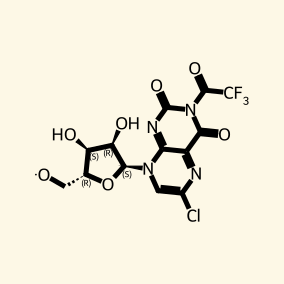 [O]C[C@H]1O[C@H](n2cc(Cl)nc3c(=O)n(C(=O)C(F)(F)F)c(=O)nc2-3)[C@H](O)[C@@H]1O